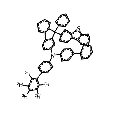 [2H]c1c([2H])c([2H])c(-c2ccc(N(c3ccc(-c4ccccc4)cc3)c3ccc4c(c3)C(c3ccccc3)(c3ccc5c(c3)sc3ccccc35)c3ccccc3-4)cc2)c([2H])c1[2H]